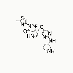 Cc1nc(-n2ccc3c(-c4nc(NC5CCCNC5)ncc4C(F)(F)F)c[nH]c3c2=O)cs1